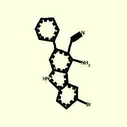 N#Cc1c(-c2ccccc2)cc2[nH]c3ccc(Br)cc3c2c1N